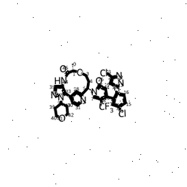 C[C@@H]1CCC[C@H](n2cc(C(F)(F)F)c(-c3cc(Cl)ccc3-n3cc(Cl)nn3)cc2=O)c2cc(ccn2)-c2c(cnn2C2CCOCC2)NC1=O